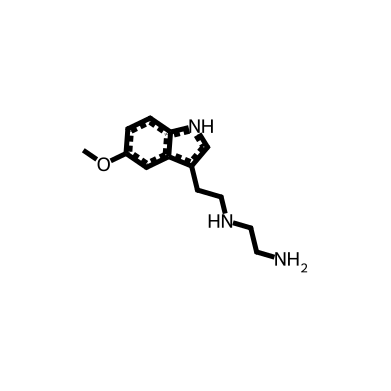 COc1ccc2[nH]cc(CCNCCN)c2c1